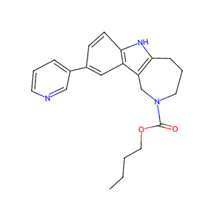 CCCCOC(=O)N1CCCc2[nH]c3ccc(-c4cccnc4)cc3c2C1